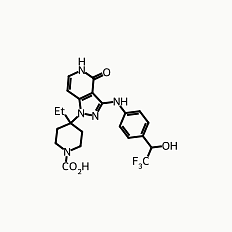 CCC1(n2nc(Nc3ccc(C(O)C(F)(F)F)cc3)c3c(=O)[nH]ccc32)CCN(C(=O)O)CC1